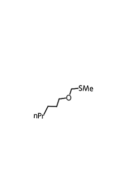 CCCCCCOCSC